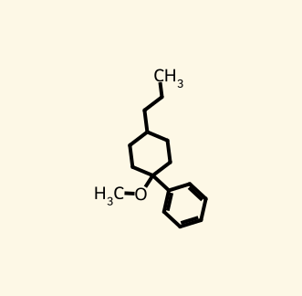 CCCC1CCC(OC)(c2ccccc2)CC1